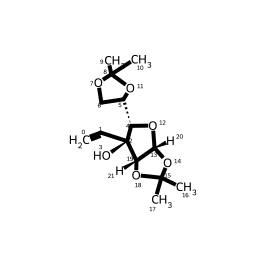 C=C[C@]1(O)[C@H](C2COC(C)(C)O2)O[C@@H]2OC(C)(C)O[C@@H]21